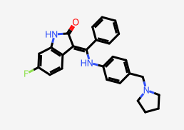 O=C1Nc2cc(F)ccc2C1=C(Nc1ccc(CN2CCCC2)cc1)c1ccccc1